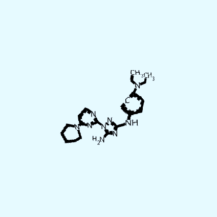 CCN(CC)c1ccc(Nc2nc(N)n(-c3nccc(N4CCCCC4)n3)n2)cc1